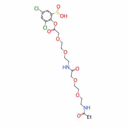 CCC(=O)NCCOCCOCC(=O)NCCOCCOCC(=O)Oc1c(Cl)cc(Cl)cc1S(=O)O